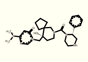 CN(C)c1cc(=O)n(C[C@]2(O)CCN(C(=O)N3CCNC[C@H]3c3ccccc3)CC23CCCC3)cn1